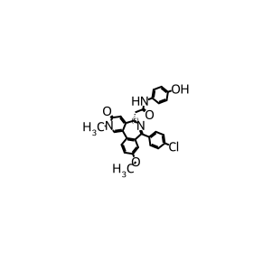 COc1ccc2c(c1)C(c1ccc(Cl)cc1)=N[C@@H](CC(=O)Nc1ccc(O)cc1)c1cc(=O)n(C)cc1-2